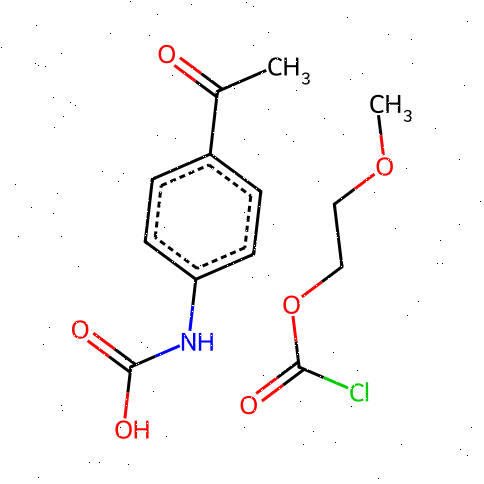 CC(=O)c1ccc(NC(=O)O)cc1.COCCOC(=O)Cl